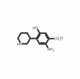 Nc1cc(C2CCCNC2)c(O)cc1C(=O)O